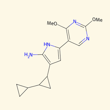 COc1ncc(-c2cc(C3CC3C3CC3)c(N)[nH]2)c(OC)n1